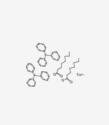 CCCCCCCC(=O)[O-].CCCCCCCC(=O)[O-].[Co+2].c1ccc(P(c2ccccc2)c2ccccc2)cc1.c1ccc(P(c2ccccc2)c2ccccc2)cc1